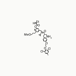 CCNC(=O)Oc1cc(CN(C(=O)C(CN)Cc2ccc(OCCOc3c(Cl)cc(C)cc3Cl)cc2)C2CC2)cc(CCCOC)n1